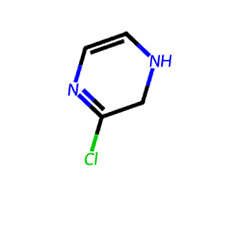 ClC1=NC=CNC1